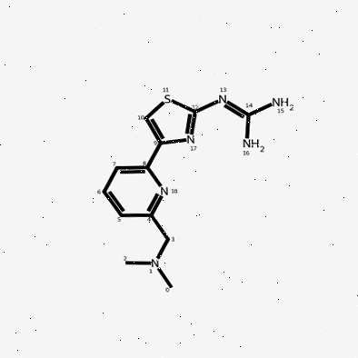 CN(C)Cc1cccc(-c2csc(N=C(N)N)n2)n1